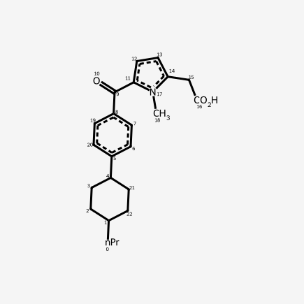 CCCC1CCC(c2ccc(C(=O)c3ccc(CC(=O)O)n3C)cc2)CC1